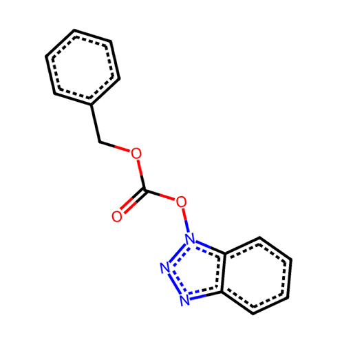 O=C(OCc1ccccc1)On1nnc2ccccc21